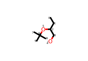 CCC(C[O])OC(C)(C)C